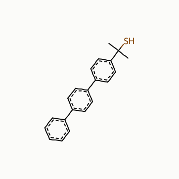 CC(C)(S)c1ccc(-c2ccc(-c3ccccc3)cc2)cc1